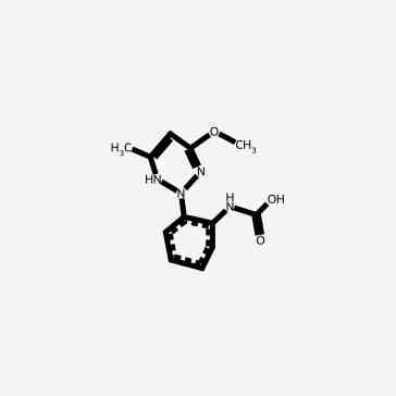 COC1=NN(c2ccccc2NC(=O)O)NC(C)=C1